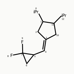 CC(C)C1CC(=CC2CC2(F)F)CC1C(C)C